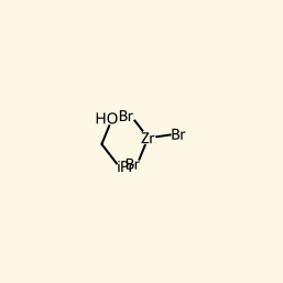 CC(C)CO.[Br][Zr]([Br])[Br]